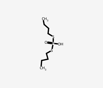 CCCCSP(=O)(O)SCCCC